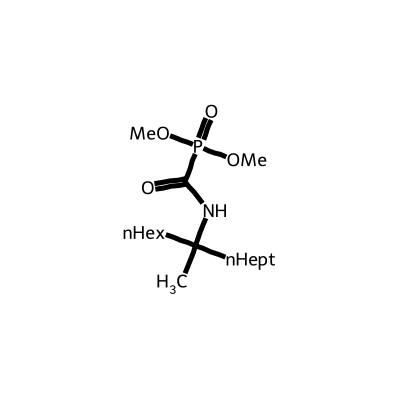 CCCCCCCC(C)(CCCCCC)NC(=O)P(=O)(OC)OC